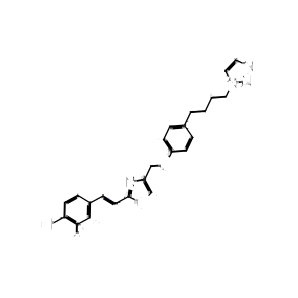 Clc1ccc(/C=C/c2nc(COc3ccc(CCCCn4ccnn4)cc3)co2)cc1Cl